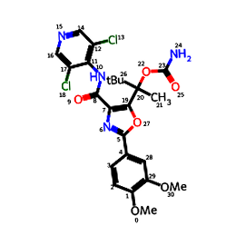 COc1ccc(-c2nc(C(=O)Nc3c(Cl)cncc3Cl)c(C(C)(OC(N)=O)C(C)(C)C)o2)cc1OC